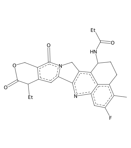 CCC(=O)NC1CCc2c(C)c(F)cc3nc4c(c1c23)Cn1c-4cc2c(c1=O)COC(=O)C2CC